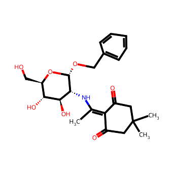 CC(N[C@H]1[C@@H](OCc2ccccc2)O[C@H](CO)[C@@H](O)[C@@H]1O)=C1C(=O)CC(C)(C)CC1=O